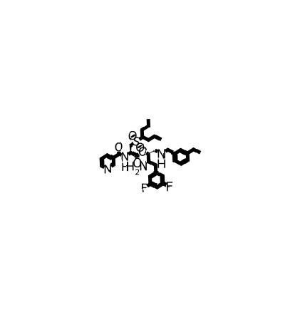 CCCC(CCC)S(=O)(=O)C[C@H](NC(=O)c1cccnc1)C(=O)O[C@H](CNCc1cccc(CC)c1)[C@@H](N)Cc1cc(F)cc(F)c1